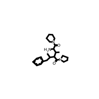 CC(Cc1ccccc1)C(C(=O)N1CCCC1)C(C)C(N)C(=O)N1CCCCC1